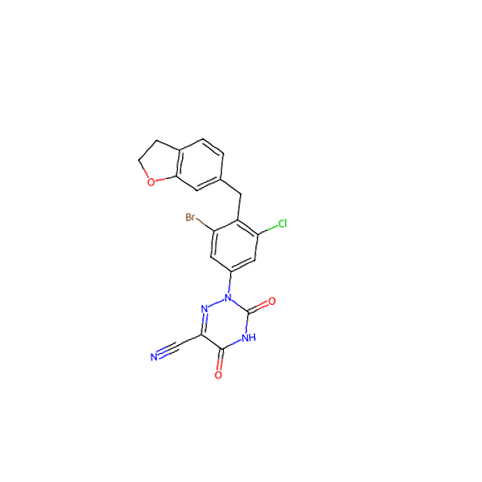 N#Cc1nn(-c2cc(Cl)c(Cc3ccc4c(c3)OCC4)c(Br)c2)c(=O)[nH]c1=O